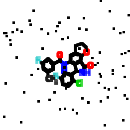 O=C(Nc1cc2c(c3c1C(c1cc(F)ccc1Cl)NC3=O)OCCC2)c1cc(F)cc(C(F)(F)F)c1